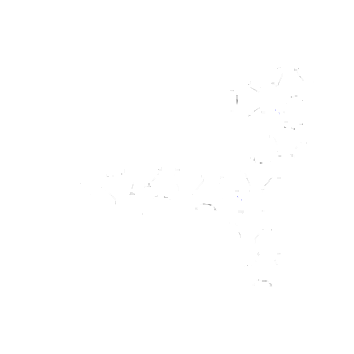 CCCCc1ccc2c(c1)sc1cc(-c3ccc(N(c4ccc(-c5ccccc5)cc4)c4ccc(-c5cccc(-n6c7ccccc7c7ccccc76)c5)cc4)cc3)ccc12